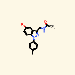 Cc1ccc(-n2nc(CNC(=O)C(F)(F)F)c3cc(O)ccc32)cc1